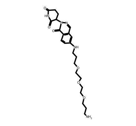 NCCCOCCOCCOCCCNc1ccc2c(=O)n(C3CCC(=O)NC3=O)ncc2c1